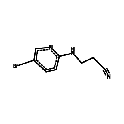 N#CCCNc1ccc(Br)cn1